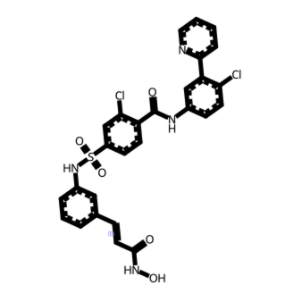 O=C(/C=C/c1cccc(NS(=O)(=O)c2ccc(C(=O)Nc3ccc(Cl)c(-c4ccccn4)c3)c(Cl)c2)c1)NO